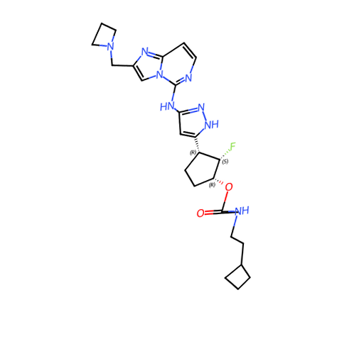 O=C(NCCC1CCC1)O[C@@H]1CC[C@H](c2cc(Nc3nccc4nc(CN5CCC5)cn34)n[nH]2)[C@@H]1F